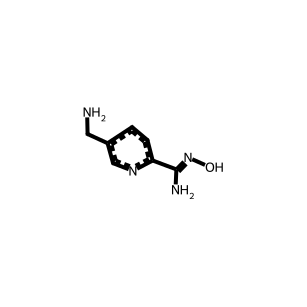 NCc1ccc(/C(N)=N/O)nc1